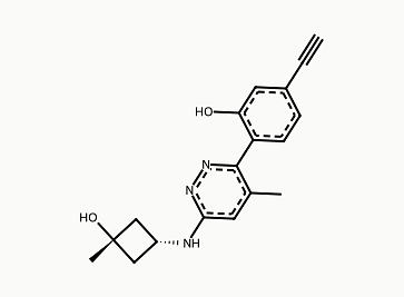 C#Cc1ccc(-c2nnc(N[C@H]3C[C@@](C)(O)C3)cc2C)c(O)c1